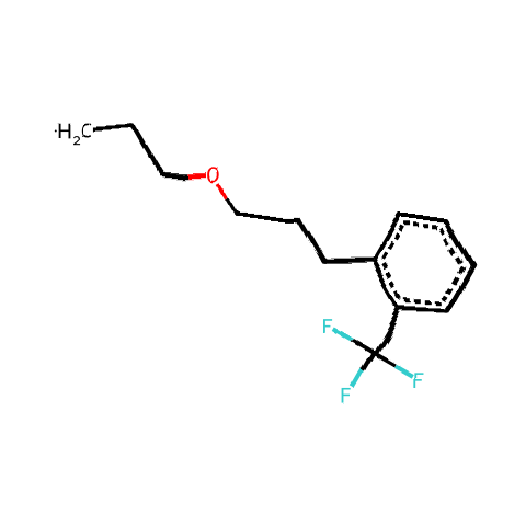 [CH2]CCOCCCc1ccccc1C(F)(F)F